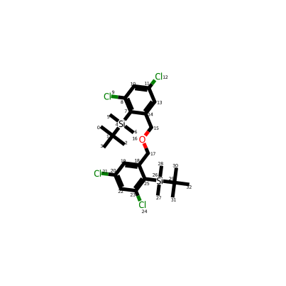 CC(C)(C)[Si](C)(C)c1c(Cl)cc(Cl)cc1COCc1cc(Cl)cc(Cl)c1[Si](C)(C)C(C)(C)C